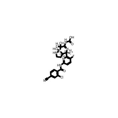 CC1(C)C(NC(=O)O)=N[C@](C)(c2nc(NC(=O)c3ccc(C#N)cc3Cl)ccc2F)[C@@H]2CCNS21O